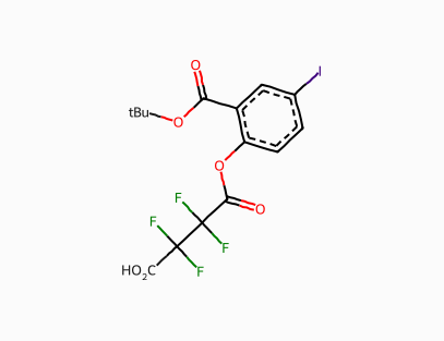 CC(C)(C)OC(=O)c1cc(I)ccc1OC(=O)C(F)(F)C(F)(F)C(=O)O